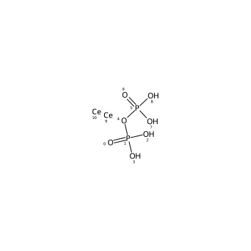 O=P(O)(O)OP(=O)(O)O.[Ce].[Ce]